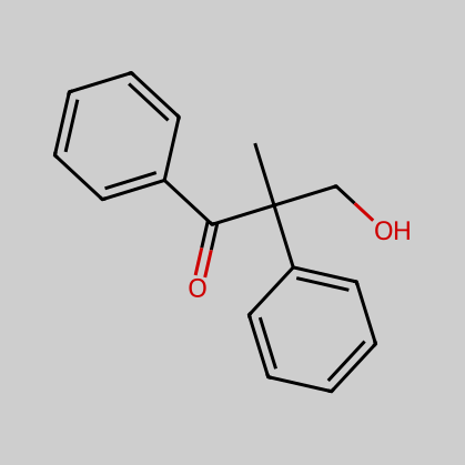 CC(CO)(C(=O)c1ccccc1)c1ccccc1